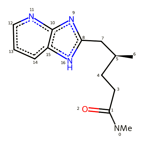 CNC(=O)CC[C@H](C)Cc1nc2ncccc2[nH]1